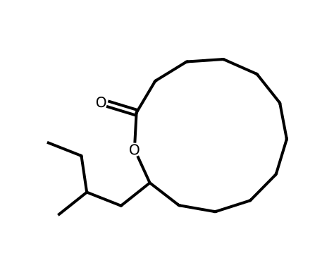 CCC(C)CC1CCCCCCCCCCC(=O)O1